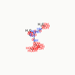 CC(NC(=O)CN(CC(=O)NCCCC(=O)NCCO[C@@H]1O[C@@H](C)[C@@H](O)[C@@H](O)[C@@H]1O)CC(=O)NCCCC(=O)NCCO[C@H]1O[C@H](CO[C@H]2O[C@H](CO)[C@@H](O)[C@H](O)[C@@H]2O)[C@@H](O)[C@H](O[C@H]2O[C@H](CO)[C@@H](O)[C@H](O)[C@@H]2O)[C@@H]1O)C(=O)ON1C(=O)CCC1=O